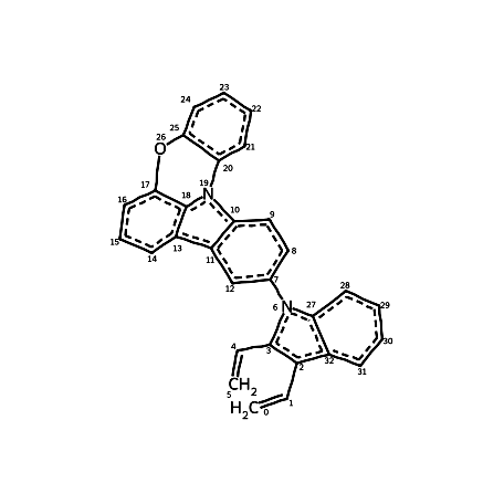 C=Cc1c(C=C)n(-c2ccc3c(c2)c2cccc4c2n3-c2ccccc2O4)c2ccccc12